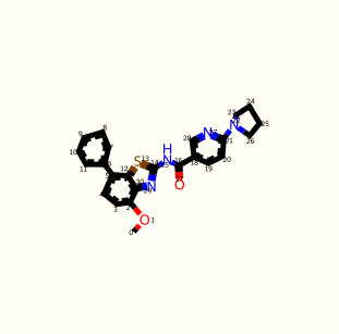 COc1ccc(-c2ccccc2)c2sc(NC(=O)c3ccc(N4CCCC4)nc3)nc12